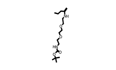 C=C(CCC)NCCOCCOCCNC(=O)OC(C)(C)C